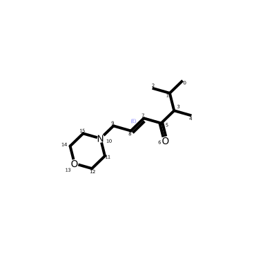 CC(C)C(C)C(=O)/C=C/CN1CCOCC1